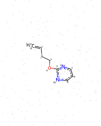 C=CCCOc1ncccn1